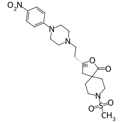 CS(=O)(=O)N1CCC2(CC1)C[C@H](CCN1CCN(c3ccc([N+](=O)[O-])cc3)CC1)OC2=O